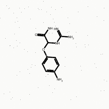 [NH]C(=O)C(NC(=N)N)Oc1ccc(N)cc1